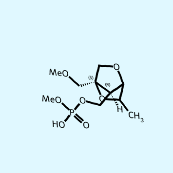 COC[C@@]12COC(C(C)O1)[C@H]2COP(=O)(O)OC